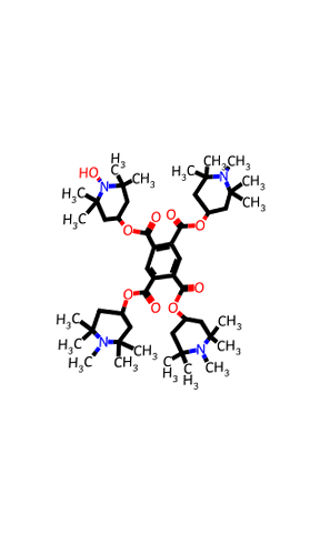 CN1C(C)(C)CC(OC(=O)c2cc(C(=O)OC3CC(C)(C)N(C)C(C)(C)C3)c(C(=O)OC3CC(C)(C)N(O)C(C)(C)C3)cc2C(=O)OC2CC(C)(C)N(C)C(C)(C)C2)CC1(C)C